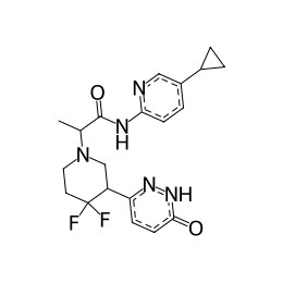 CC(C(=O)Nc1ccc(C2CC2)cn1)N1CCC(F)(F)C(c2ccc(=O)[nH]n2)C1